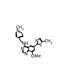 COc1cc(-c2ncc(C)s2)cc2c(NCC3=CCN(C)C=C3)ncnc12